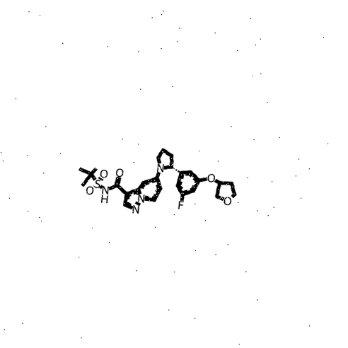 CC(C)(C)S(=O)(=O)NC(=O)c1cnn2ccc(N3CCC[C@@H]3c3cc(F)cc(OC4CCOC4)c3)cc12